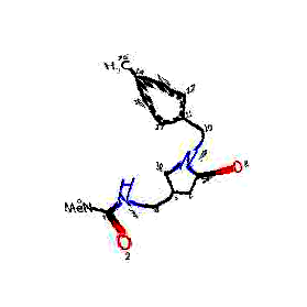 CNC(=O)NCC1CC(=O)N(Cc2ccc(C)cc2)C1